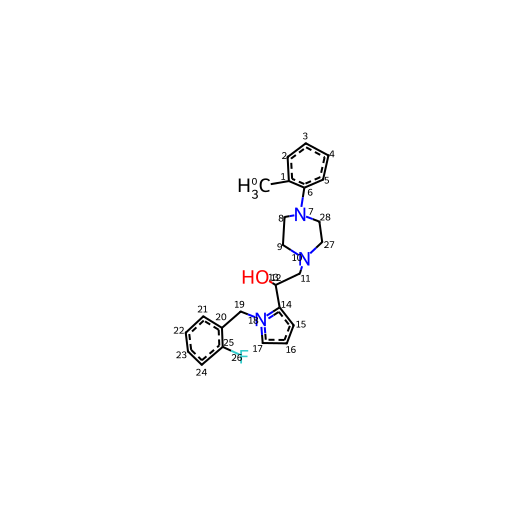 Cc1ccccc1N1CCN(CC(O)c2cccn2Cc2ccccc2F)CC1